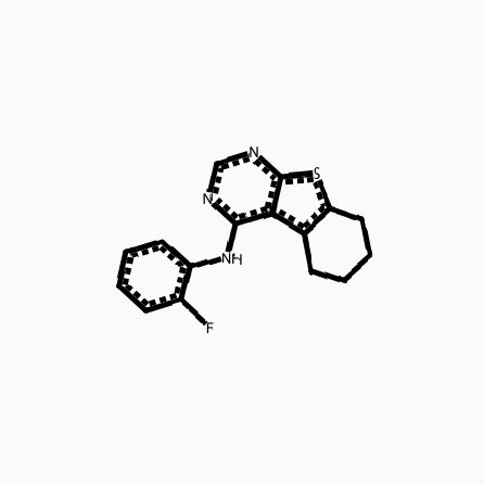 Fc1ccccc1Nc1ncnc2sc3c(c12)CCCC3